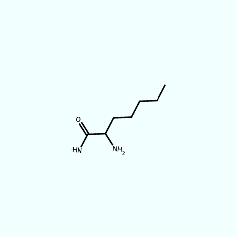 CCCCCC(N)C([NH])=O